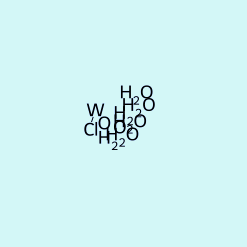 O.O.O.O.O.O.[Cl][W]